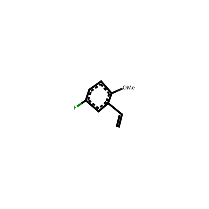 C=Cc1cc(F)ccc1OC